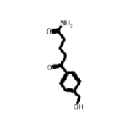 NC(=O)CCCC(=O)c1ccc(CO)cc1